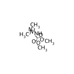 CCOC(=O)C(=CNc1cc(C)nn1CC)C(=O)OCC